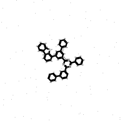 c1ccc(-c2cccc(-c3nc(-c4ccccc4)nc(-c4cc(-c5ccccc5)cc(-c5cccc6c5sc5ccccc56)c4)n3)c2)cc1